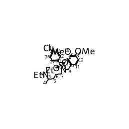 CCN(CC)C(C)CCCN(Cc1ccc(OC)c(OC)c1)S(=O)(=O)c1ccc(Cl)cc1